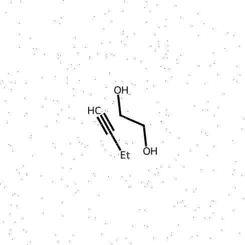 C#CCC.OCCO